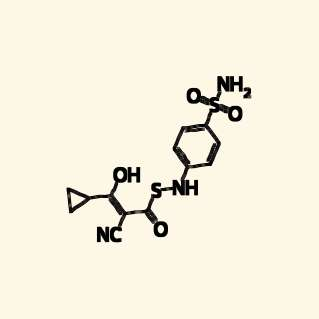 N#CC(C(=O)SNc1ccc(S(N)(=O)=O)cc1)=C(O)C1CC1